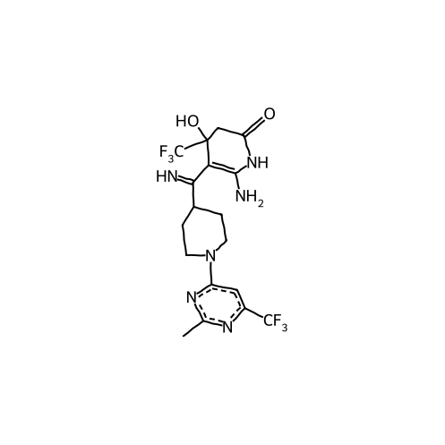 Cc1nc(N2CCC(C(=N)C3=C(N)NC(=O)CC3(O)C(F)(F)F)CC2)cc(C(F)(F)F)n1